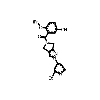 CCc1cc(-n2cc3c(n2)CN(C(=O)c2cc(C#N)ccc2OC(C)C)C3)ccn1